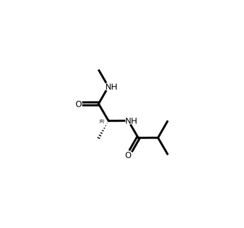 CNC(=O)[C@@H](C)NC(=O)C(C)C